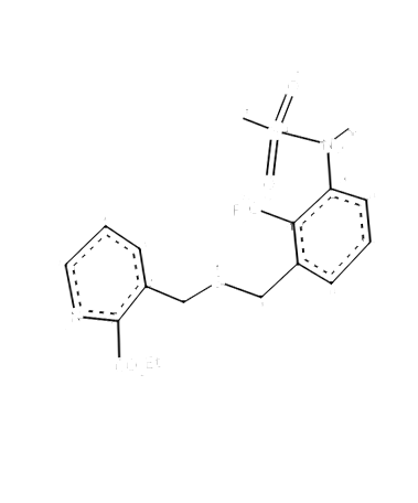 CCOC(=O)c1ncccc1CSCc1cccc(N(C)S(C)(=O)=O)c1C(F)(F)F